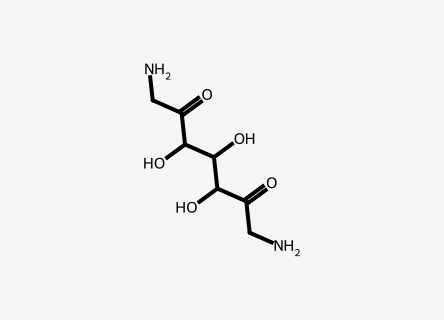 NCC(=O)C(O)C(O)C(O)C(=O)CN